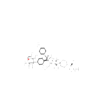 O=C(O)[C@H]1CC[C@](F)(C(=O)N2CCC3(S(=O)(=O)c4ccc(F)cc4)c4ccc(C(F)(C(F)(F)F)C(F)(F)F)cc4OCC23)CC1